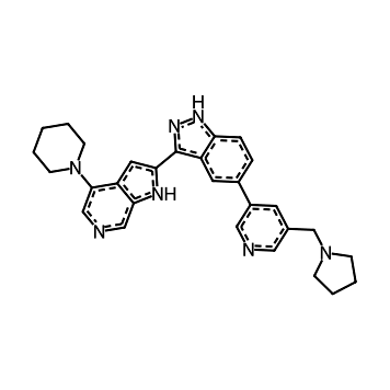 c1ncc(-c2ccc3[nH]nc(-c4cc5c(N6CCCCC6)cncc5[nH]4)c3c2)cc1CN1CCCC1